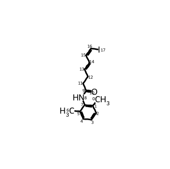 Cc1cccc(C)c1NC(=O)CC/C=C/C=C\I